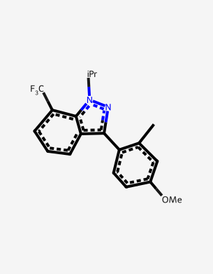 COc1ccc(-c2nn(C(C)C)c3c(C(F)(F)F)cccc23)c(C)c1